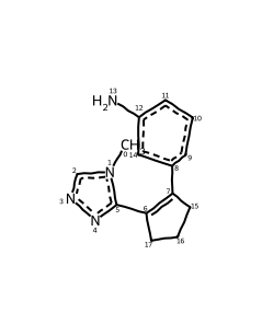 Cn1cnnc1C1=C(c2cccc(N)c2)CCC1